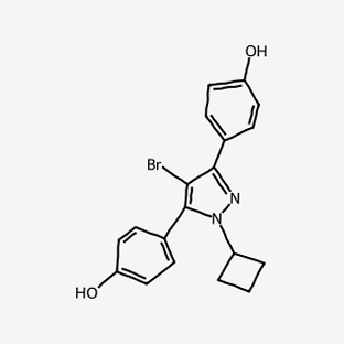 Oc1ccc(-c2nn(C3CCC3)c(-c3ccc(O)cc3)c2Br)cc1